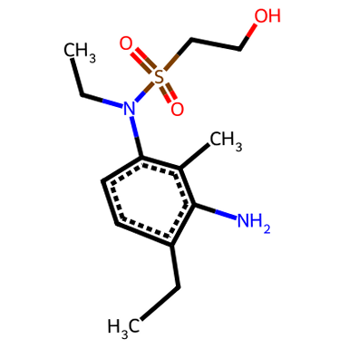 CCc1ccc(N(CC)S(=O)(=O)CCO)c(C)c1N